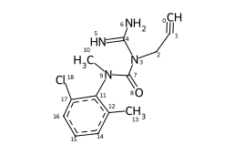 C#CCN(C(=N)N)C(=O)N(C)c1c(C)cccc1Cl